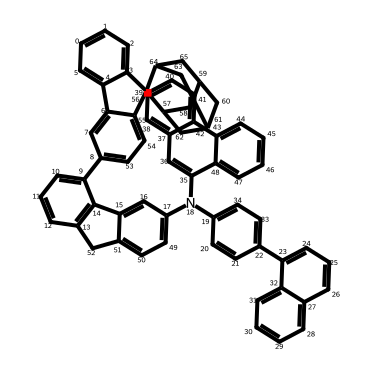 c1ccc2c(c1)-c1cc(-c3cccc4c3-c3cc(N(c5ccc(-c6cccc7ccccc67)cc5)c5cc6ccccc6c6ccccc56)ccc3C4)ccc1C21C2CC3CC(C2)CC1C3